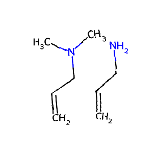 C=CCN.C=CCN(C)C